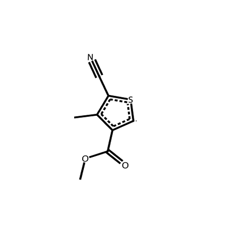 COC(=O)c1[c]sc(C#N)c1C